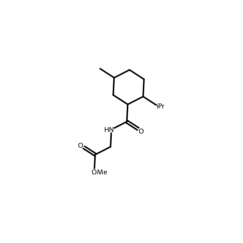 COC(=O)CNC(=O)C1CC(C)CCC1C(C)C